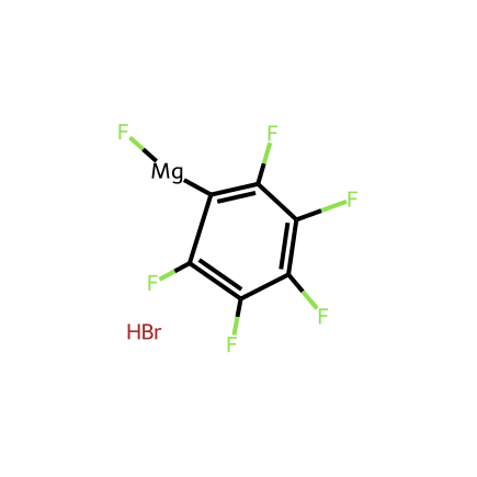 Br.[F][Mg][c]1c(F)c(F)c(F)c(F)c1F